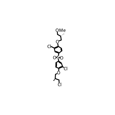 COC[C@H](C)COc1ccc(S(=O)(=O)c2ccc(OC[C@H](C)CCl)c(Cl)c2)cc1Cl